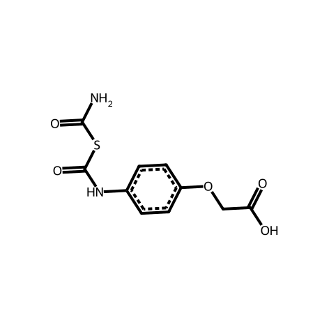 NC(=O)SC(=O)Nc1ccc(OCC(=O)O)cc1